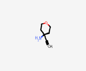 C#CC1(N)CCOCC1